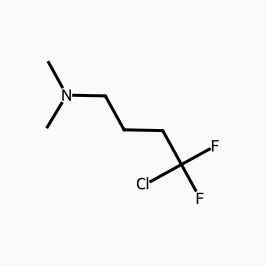 CN(C)CCCC(F)(F)Cl